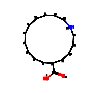 O=C(O)C1CCCCCCCCCCNCCCC1